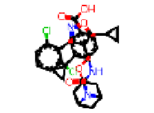 O=C(O)c1ccc(NC(=O)N2C3CC(OCc4c(-c5c(Cl)cccc5Cl)noc4C4CC4)CC2C3)c(C2CC2)c1